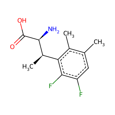 Cc1cc(F)c(F)c([C@@H](C)[C@H](N)C(=O)O)c1C